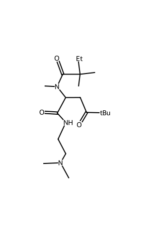 CCC(C)(C)C(=O)N(C)C(CC(=O)C(C)(C)C)C(=O)NCCN(C)C